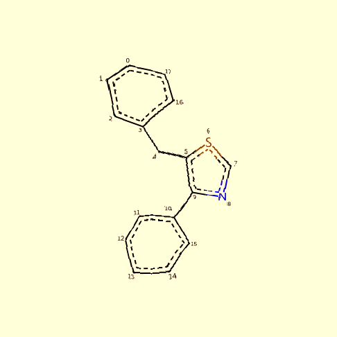 c1ccc(Cc2scnc2-c2ccccc2)cc1